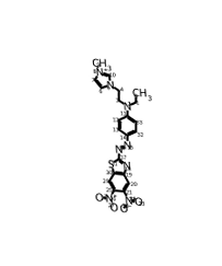 CCN(CCn1cc[n+](C)c1)c1ccc(/N=N/c2nc3cc([N+](=O)[O-])c([N+](=O)[O-])cc3s2)cc1